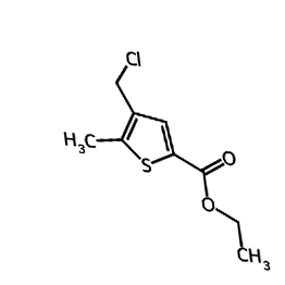 CCOC(=O)c1cc(CCl)c(C)s1